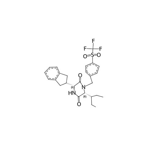 CCC(CC)[C@@H]1C(=O)N[C@H](C2Cc3ccccc3C2)C(=O)N1Cc1ccc(S(=O)(=O)C(F)(F)F)cc1